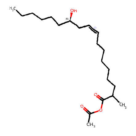 CCCCCC[C@@H](O)C/C=C\CCCCCCC(C)C(=O)OC(C)=O